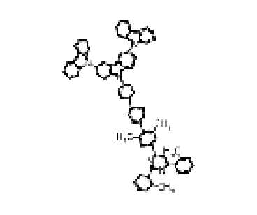 Cc1ccccc1-c1cc(-c2cc(C)c(-c3ccc(-c4ccc(-n5c6ccc(-n7c8ccccc8c8ccccc87)cc6c6cc(-n7c8ccccc8c8ccccc87)ccc65)cc4)cc3)c(C)c2)nc(-c2ccccc2C)n1